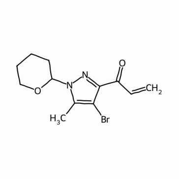 C=CC(=O)c1nn(C2CCCCO2)c(C)c1Br